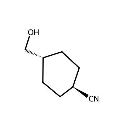 N#C[C@H]1CC[C@H](CO)CC1